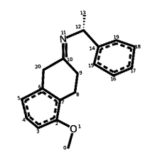 COc1cccc2c1CC/C(=N\[C@H](C)c1ccccc1)C2